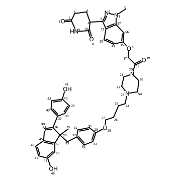 Cn1nc(C2CCC(=O)NC2=O)c2ccc(OCC(=O)N3CCN(CCCCOc4ccc(CC5(C)C(c6ccc(O)cc6)=Nc6ccc(O)cc65)cc4)CC3)cc21